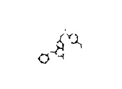 CCc1cnc(N(C)Cc2cc3nc(Cl)nc(Nc4ccccc4)c3s2)nc1